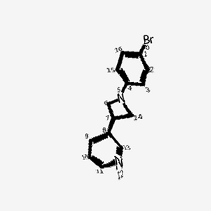 Brc1ccc(N2CC(c3cccnc3)C2)cc1